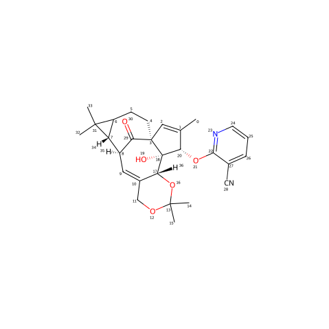 CC1=C[C@@]23CCC4[C@H]([C@H](C=C5COC(C)(C)O[C@H]5[C@]2(O)[C@H]1Oc1ncccc1C#N)C3=O)C4(C)C